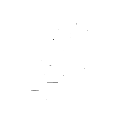 CCC(CC)N1CCC(C#N)(NC(=O)C(CC(C)(C)C)NC(=NC(N)=O)N2CCOCC2)C1